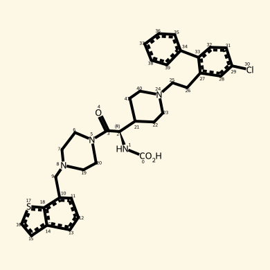 O=C(O)N[C@@H](C(=O)N1CCN(Cc2cccc3ccsc23)CC1)C1CCN(CCc2cc(Cl)ccc2-c2ccccc2)CC1